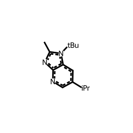 Cc1nc2ncc(C(C)C)cc2n1C(C)(C)C